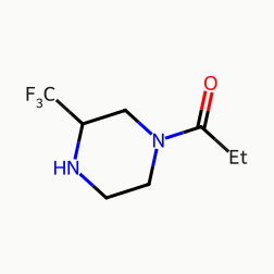 CCC(=O)N1CCNC(C(F)(F)F)C1